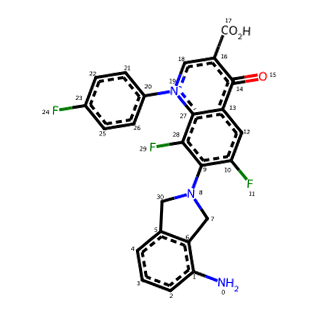 Nc1cccc2c1CN(c1c(F)cc3c(=O)c(C(=O)O)cn(-c4ccc(F)cc4)c3c1F)C2